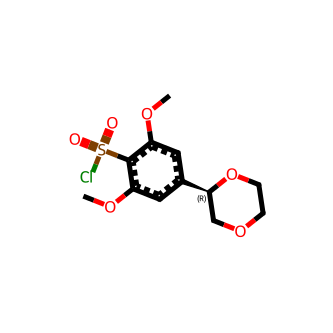 COc1cc([C@@H]2COCCO2)cc(OC)c1S(=O)(=O)Cl